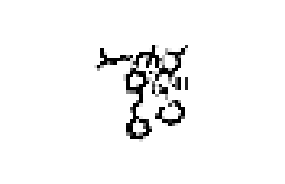 CC(C)CCN(CC(C)(C)NC(=O)C(CC(C)C)NC(=O)N1CCCCCC1)c1ccc(CCc2ccccc2)cc1